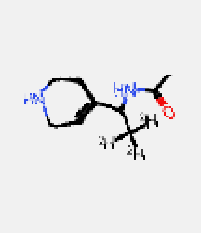 [2H]C([2H])([2H])C(NC(C)=O)C1=CCNCC1